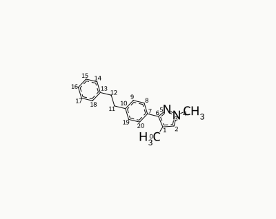 Cc1cn(C)nc1-c1ccc(CCc2ccccc2)cc1